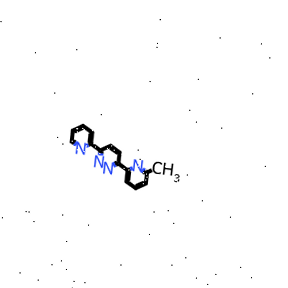 Cc1cccc(-c2ccc(-c3ccccn3)nn2)n1